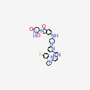 O=C1CCC(N2Cc3cc(NC4CCN(c5cccc(-c6cnc7ccc(N8CCC[C@@H]8c8cccc(F)c8)nn67)n5)CC4)ccc3C2=O)C(=O)N1